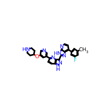 Cc1cc(F)cc(-c2ccnc3[nH]c(-c4n[nH]c5ccc(-c6cncc(OC7CCNCC7)c6)nc45)nc23)c1